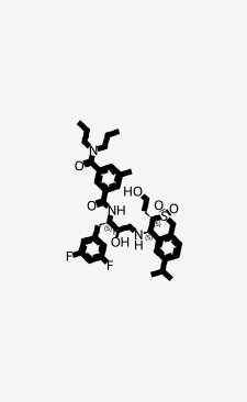 CCCN(CCC)C(=O)c1cc(C)cc(C(=O)N[C@@H](Cc2cc(F)cc(F)c2)[C@H](O)CN[C@H]2c3cc(C(C)C)ccc3CS(=O)(=O)[C@H]2CCO)c1